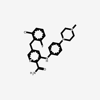 CN1CCN(c2ccc(Nc3cc(Cc4c(F)cccc4Cl)cnc3C(N)=O)cc2)CC1